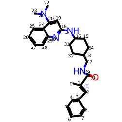 C/C(=C\c1ccccc1)C(=O)NCC1CCC(Nc2cc(N(C)C)c3ccccc3n2)CC1